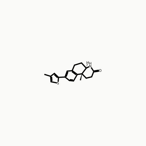 Cc1csc(-c2ccc3c(c2)CC[C@H]2NC(=O)CC[C@]32C)c1